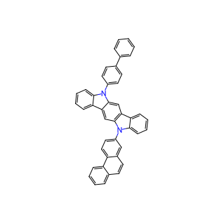 c1ccc(-c2ccc(-n3c4ccccc4c4cc5c(cc43)c3ccccc3n5-c3ccc4c(ccc5ccccc54)c3)cc2)cc1